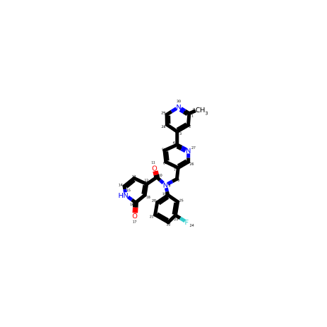 Cc1cc(-c2ccc(CN(C(=O)c3cc[nH]c(=O)c3)c3cccc(F)c3)cn2)ccn1